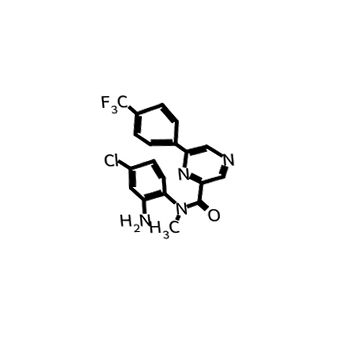 CN(C(=O)c1cncc(-c2ccc(C(F)(F)F)cc2)n1)c1ccc(Cl)cc1N